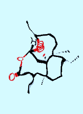 C[C@@H]1CC[C@@]2(C)[C@@H](C)C(=O)O[C@@H]3O[C@@]4(C)CC[C@]1(C)[C@]32OO4